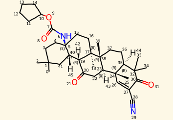 CC1(C)CC[C@]2(NC(=O)OC3CCCC3)CC[C@]3(C)[C@H](C(=O)C[C@@H]4[C@@]5(C)C=C(C#N)C(=O)C(C)(C)[C@@H]5CC[C@]43C)[C@@H]2C1